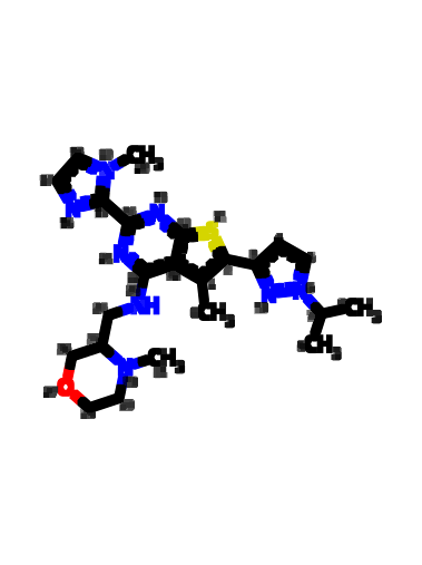 Cc1c(-c2ccn(C(C)C)n2)sc2nc(-c3nccn3C)nc(NCC3COCCN3C)c12